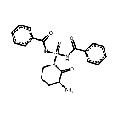 N[C@H]1CCCN(P(=O)(NC(=O)c2ccccc2)NC(=O)c2ccccc2)C1=O